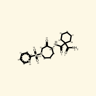 NC(=O)C1(C(=O)N[C@@H]2CCCN(S(=O)(=O)c3ccccn3)CC2=O)CCCCC1